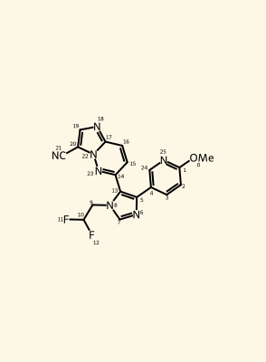 COc1ccc(-c2ncn(CC(F)F)c2-c2ccc3ncc(C#N)n3n2)cn1